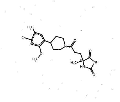 COc1cc(Cl)c(C)cc1C1CCN(C(=O)CC[C@@]2(C)NC(=O)NC2=O)CC1